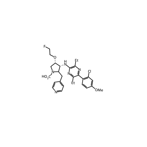 CCc1nc(-c2ccc(OC)cc2Cl)c(CC)nc1N[C@@H]1C(Cc2ccncc2)N(C(=O)O)C[C@@H]1OCCF